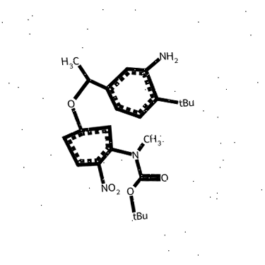 CC(Oc1ccc([N+](=O)[O-])c(N(C)C(=O)OC(C)(C)C)c1)c1ccc(C(C)(C)C)c(N)c1